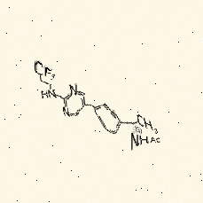 CC(=O)N[C@@H](C)c1ccc(-c2cnc(NCCC(F)(F)F)nc2)cc1